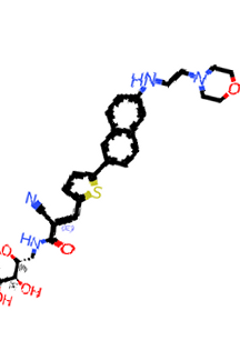 N#C/C(=C\c1ccc(-c2ccc3cc(NCCN4CCOCC4)ccc3c2)s1)C(=O)NC[C@H]1OC[C@H](O)[C@@H](O)[C@@H]1O